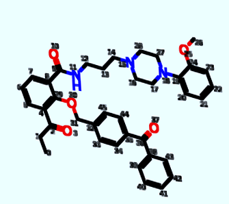 CCC(=O)c1cccc(C(=O)NCCCN2CCN(c3ccccc3OC)CC2)c1OCc1ccc(C(=O)c2ccccc2)cc1